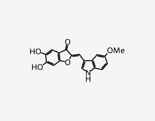 COc1ccc2[nH]cc(/C=C3\Oc4cc(O)c(O)cc4C3=O)c2c1